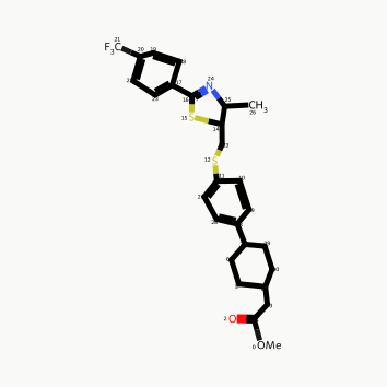 COC(=O)CC1CCC(c2ccc(SCC3SC(c4ccc(C(F)(F)F)cc4)=NC3C)cc2)CC1